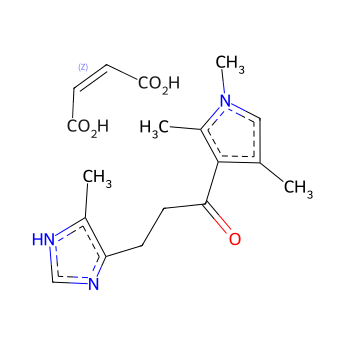 Cc1cn(C)c(C)c1C(=O)CCc1nc[nH]c1C.O=C(O)/C=C\C(=O)O